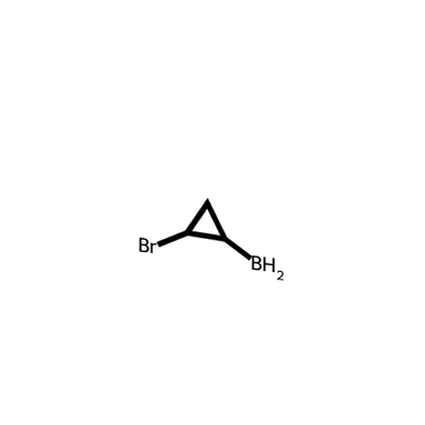 BC1CC1Br